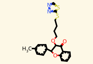 Cc1ccc(C2Oc3ccccc3C(=O)C2OCCCCSc2nncs2)cc1